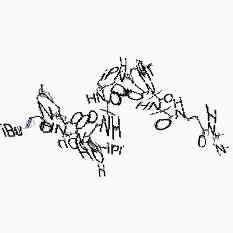 CCCCCCCC[C@H](NC(=O)[C@@H]1C[C@H](C)CN1C(=O)/C=C/[C@@H](C)CC)C(=O)NC(C(=O)NC(C)(C)C(=O)N[C@@H](CC(C)C)C(=O)N[C@@H](CC(C)C)C(=O)NC(C)(C)C(=O)NC(C)(C)C(=O)NCCC(=O)N[C@@H](C)CN(C)C)[C@H](O)C(C)C